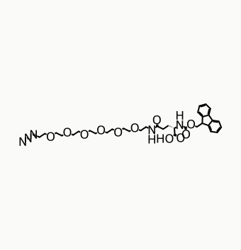 [N-]=[N+]=NCCOCCOCCOCCOCCOCCOCCNC(=O)CC[C@H](NC(=O)OCC1c2ccccc2-c2ccccc21)C(=O)O